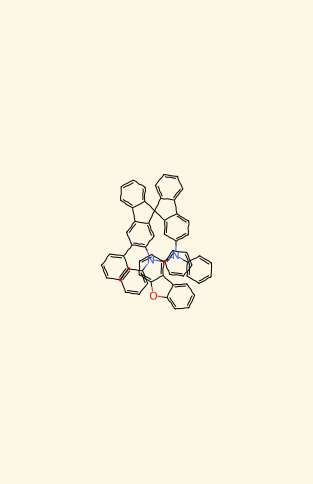 c1ccc(-c2cc3c(cc2N(c2ccccc2)c2ccccc2)C2(c4ccccc4-c4ccc(N(c5ccccc5)c5cccc6oc7ccccc7c56)cc42)c2ccccc2-3)cc1